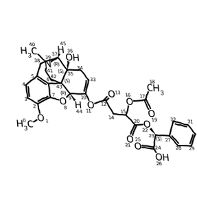 COc1ccc2c3c1O[C@H]1C(OC(=O)CC(OC(C)=O)C(=O)O[C@H](C(=O)O)c4ccccc4)=CC[C@@]4(O)[C@@H](C2)N(C)CC[C@]314